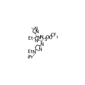 CCc1nc2n(c1-c1cc(C)n(C)n1)N=C(SOOC(F)(F)F)/C2=N/c1ccc(N(CC)CC(C)C)cn1